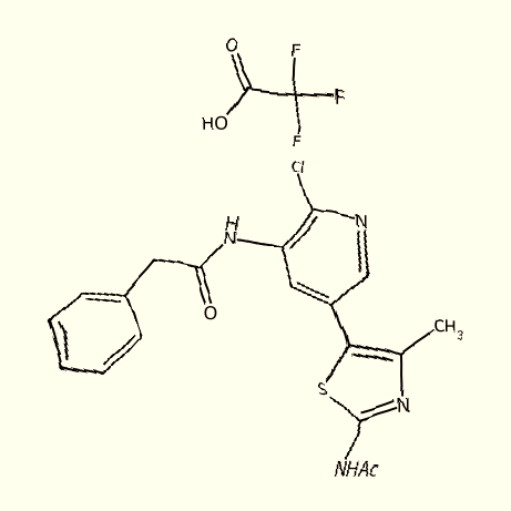 CC(=O)Nc1nc(C)c(-c2cnc(Cl)c(NC(=O)Cc3ccccc3)c2)s1.O=C(O)C(F)(F)F